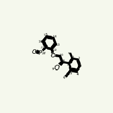 Cc1cccc(C)c1C(=O)COc1ccccc1P=O